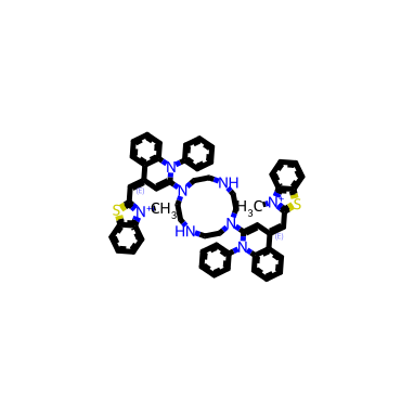 C[n+]1c(/C=C2\C=C(N3CCNCCN(C4=C/C(=C\c5sc6ccccc6[n+]5C)c5ccccc5N4c4ccccc4)CCNCC3)N(c3ccccc3)c3ccccc32)sc2ccccc21